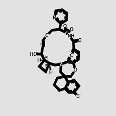 O=C1NS(=O)(=O)C(c2ccccn2)CC/C=C/C(O)[C@@H]2CC[C@H]2CN2CC3(CCCc4cc(Cl)ccc43)COc3ccc1cc32